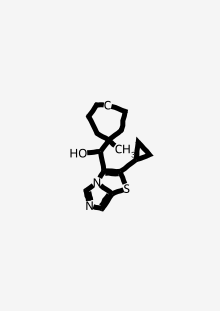 CC1(C(O)c2c(C3CC3)sc3cncn23)CCCCCC1